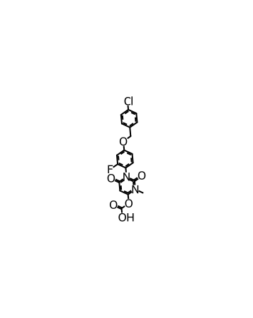 Cn1c(OC(=O)O)cc(=O)n(-c2ccc(OCc3ccc(Cl)cc3)cc2F)c1=O